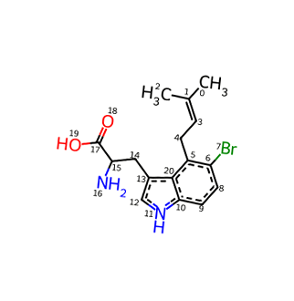 CC(C)=CCc1c(Br)ccc2[nH]cc(CC(N)C(=O)O)c12